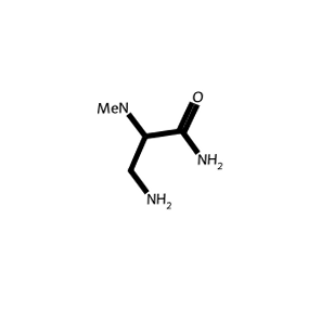 CNC(CN)C(N)=O